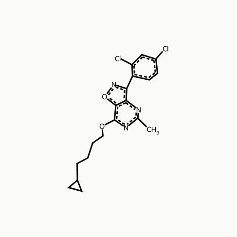 Cc1nc(OCCCCC2CC2)c2onc(-c3ccc(Cl)cc3Cl)c2n1